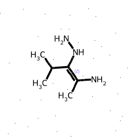 C/C(N)=C(/NN)C(C)C